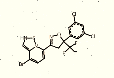 FC(F)(F)C1(c2cc(Cl)cc(Cl)c2)CC(C2=CC=C(Br)C3=CNSN32)=NO1